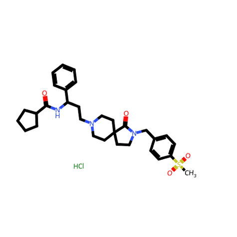 CS(=O)(=O)c1ccc(CN2CCC3(CCN(CCC(NC(=O)C4CCCC4)c4ccccc4)CC3)C2=O)cc1.Cl